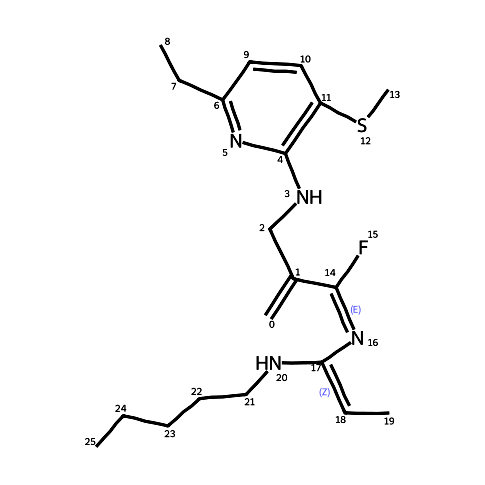 C=C(CNc1nc(CC)ccc1SC)/C(F)=N\C(=C/C)NCCCCC